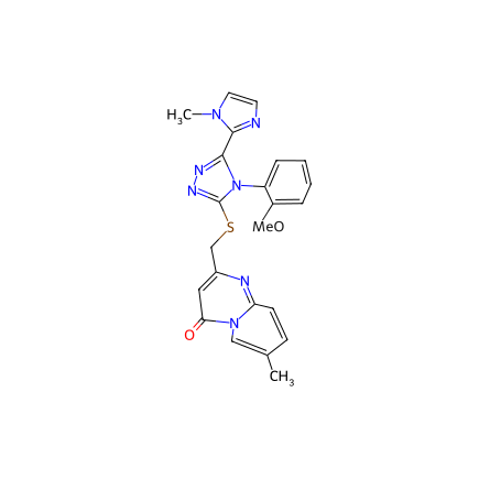 COc1ccccc1-n1c(SCc2cc(=O)n3cc(C)ccc3n2)nnc1-c1nccn1C